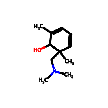 CC1=CC=CC(C)(CN(C)C)C1O